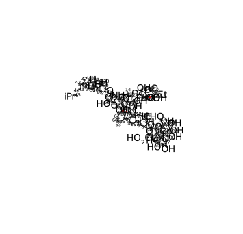 CC[C@@]1(O)CO[C@@H](OC2C(O)[C@H](O[C@H]3C(C)O[C@@H](OC4C(O)[C@@H](NC(=O)O[C@H]5CC[C@@]6(C)[C@@H](CC[C@@H]7[C@@H]6CC[C@]6(C)[C@@H]([C@H](C)CCCC(C)C)CC[C@@H]76)C5)C(CO)O[C@H]4OC(=O)[C@]45CCC(C)(C)CC4C4=CCC6C7(C)CC[C@H](O[C@@H]8OC(C(=O)O)[C@@H](O)[C@H](O[C@@H]9OC[C@@H](O)[C@H](O)C9O)C8O[C@@H]8OC(CO)[C@H](O)[C@H](O)C8O)[C@](C)(C=O)[C@@H]7CC[C@]6(C)[C@]4(C)CC5O)C(O)C3O)OC[C@H]2O)C1O